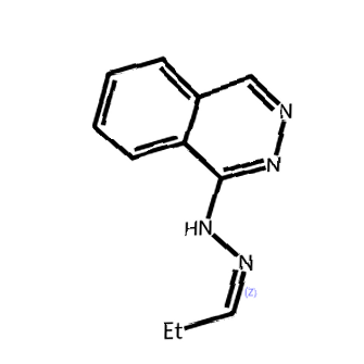 CC/C=N\Nc1nncc2ccccc12